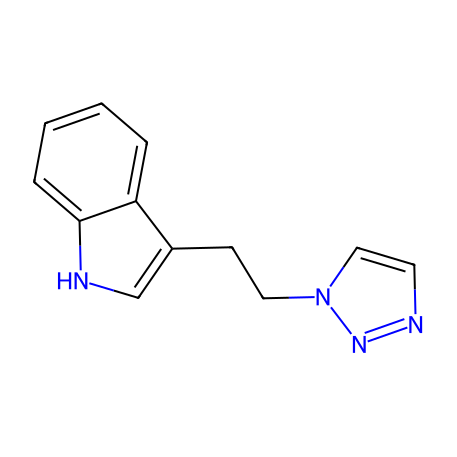 c1ccc2c(CCn3ccnn3)c[nH]c2c1